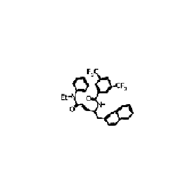 CCN(C(=O)C=CC(Cc1ccc2ccccc2c1)N(C)C(=O)c1cc(C(F)(F)F)cc(C(F)(F)F)c1)c1ccccc1